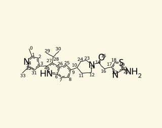 Cc1cc(-c2[nH]c3ccc(C4CCN(C(=O)Cc5csc(N)n5)CC4)cc3c2C(C)C)cc(C)n1